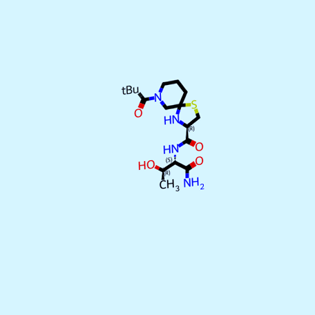 C[C@@H](O)[C@H](NC(=O)[C@@H]1CSC2(CCCN(C(=O)C(C)(C)C)C2)N1)C(N)=O